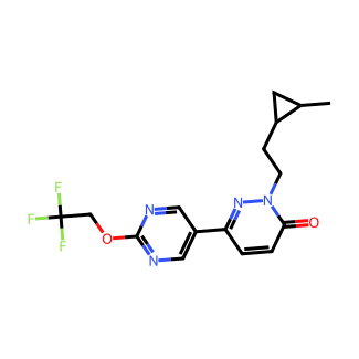 CC1CC1CCn1nc(-c2cnc(OCC(F)(F)F)nc2)ccc1=O